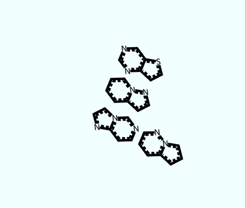 c1cc2nccn2cn1.c1ccn2nccc2c1.c1cnn2cccc2c1.c1ncc2sccc2n1